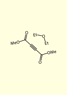 CCOCC.COC(=O)C#CC(=O)OC